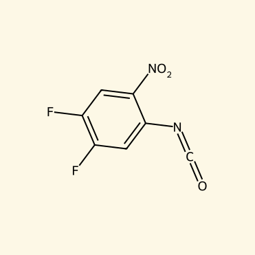 O=C=Nc1cc(F)c(F)cc1[N+](=O)[O-]